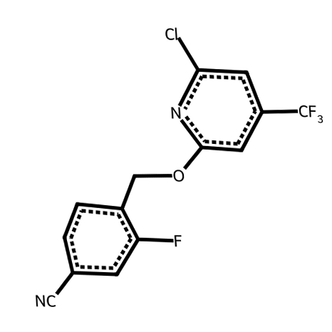 N#Cc1ccc(COc2cc(C(F)(F)F)cc(Cl)n2)c(F)c1